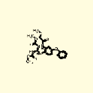 COCC(=O)Nc1cc(Oc2ccccc2)ccc1NC(=NC(=O)OC)NC(=O)OC